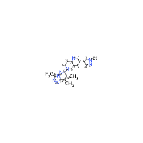 CCn1cc(-c2cnc3c(c2)CN(c2nn4c(C(F)(F)F)nnc4c(C)c2C)CC3)cn1